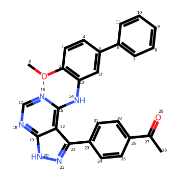 COc1ccc(-c2ccccc2)cc1Nc1ncnc2[nH]nc(-c3ccc(C(C)=O)cc3)c12